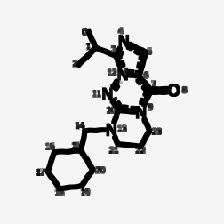 CC(C)c1ncc2c(=O)n3c(nn12)N(CC1CCCCC1)CCC3